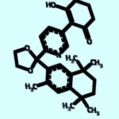 Cc1cc2c(cc1C1(c3ccc(C4=C(O)CCCC4=O)cn3)OCCO1)C(C)(C)CCC2(C)C